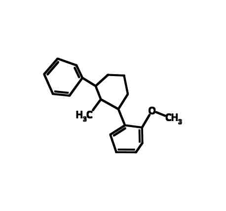 COc1ccccc1C1CCCC(c2ccccc2)C1C